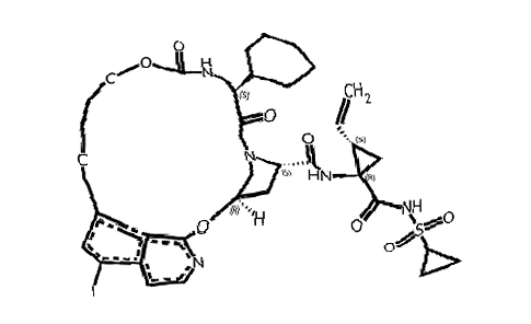 C=C[C@@H]1C[C@]1(NC(=O)[C@@H]1C[C@@H]2CN1C(=O)[C@H](C1CCCCC1)NC(=O)OCCCCCc1cc(I)c3ccnc(c3c1)O2)C(=O)NS(=O)(=O)C1CC1